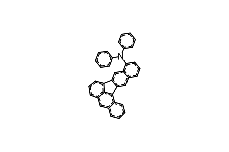 c1ccc(N(c2ccccc2)c2cccc3cc4c(cc23)-c2cccc3cc5ccccc5c-4c23)cc1